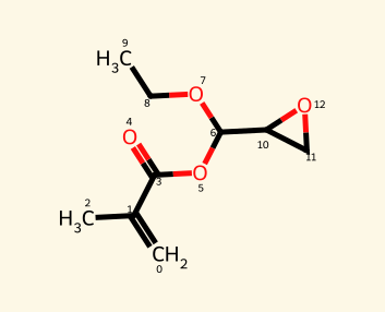 C=C(C)C(=O)OC(OCC)C1CO1